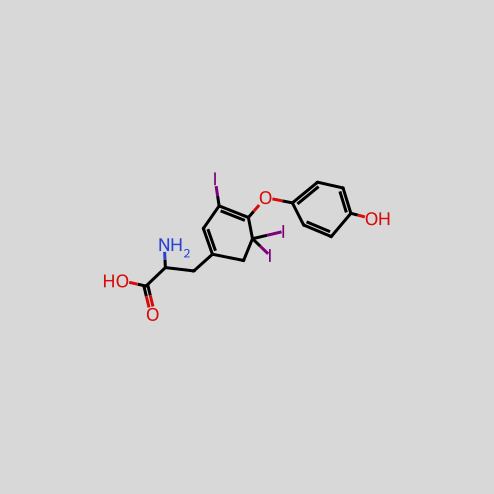 NC(CC1=CC(I)=C(Oc2ccc(O)cc2)C(I)(I)C1)C(=O)O